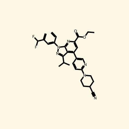 C=C/C(=C\C(=C)C(F)F)n1nc(C(C)C)c2c(-c3ccc(N4CCC(C#N)CC4)nc3)cc(C(=O)OCC)nc21